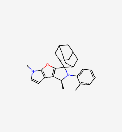 Cc1ccccc1N1[C@@H](C)c2c(oc3c2ccn3C)C12C1CC3CC(C1)CC2C3